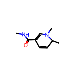 CNC(=O)C1=CN(C)C(C)C=C1